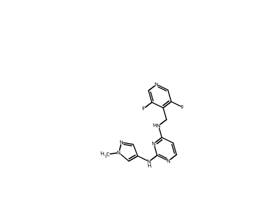 Cn1cc(Nc2nccc(NCc3c(F)cncc3F)n2)cn1